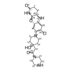 O=C1CC[C@@H](Nc2ccc(N3CCC(O)(CC(=O)N4CCNCC4)CC3)c(Cl)c2)C(=O)N1